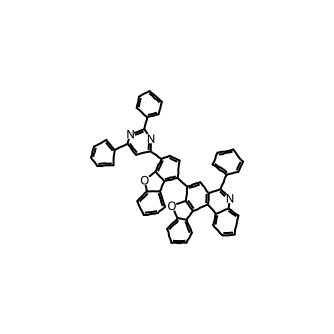 c1ccc(-c2cc(-c3ccc(-c4cc5c(-c6ccccc6)nc6ccccc6c5c5c4oc4ccccc45)c4c3oc3ccccc34)nc(-c3ccccc3)n2)cc1